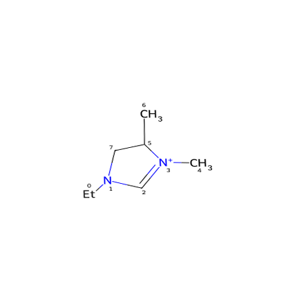 CCN1C=[N+](C)C(C)C1